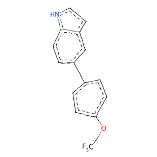 FC(F)(F)Oc1ccc(-c2ccc3[nH]ccc3c2)cc1